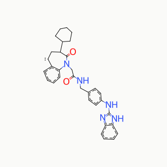 O=C(CN1C(=O)C(C2CCCCC2)C[C]c2ccccc21)NCc1ccc(Nc2nc3ccccc3[nH]2)cc1